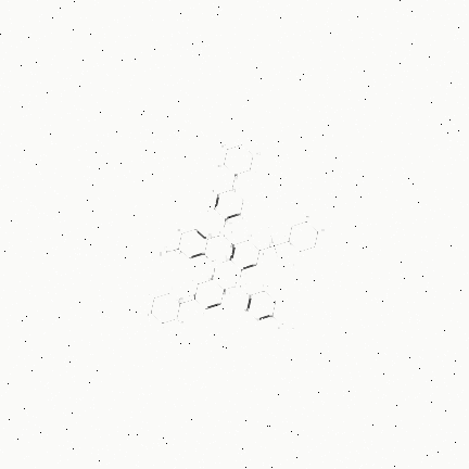 CC(C)(C)C1=CC=C(N2C3=CC(C(C)(C)C4CCCCC4)CC4=C3B(C3=CC(C(C)(C)C)CC=C3N4C3=CCC(C4CCCCC4)C=C3)C3CC(C4CCCCC4)C=CC32)CC1